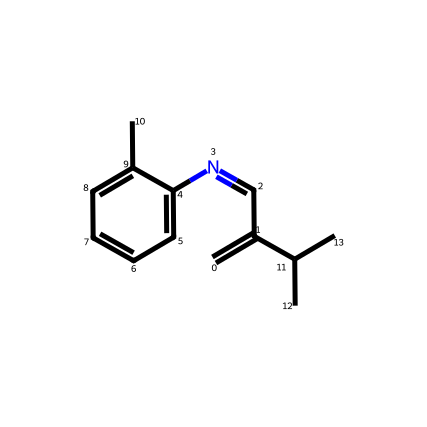 C=C(/C=N\c1ccccc1C)C(C)C